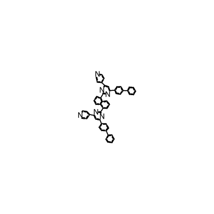 c1ccc(-c2ccc(-c3cc(-c4ccncc4)nc(-c4cccc5c(-c6nc(-c7ccncc7)cc(-c7ccc(-c8ccccc8)cc7)n6)cccc45)n3)cc2)cc1